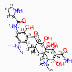 CN(C)c1cc(NC(=O)C2CCCN2)c(O)c2c1C[C@H]1C[C@H]3[C@H](N(C)C)C(O)=C(C(N)=O)C(=O)[C@@]3(O)C(O)=C1C2=O